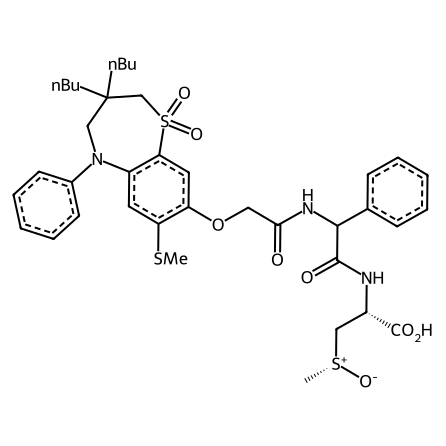 CCCCC1(CCCC)CN(c2ccccc2)c2cc(SC)c(OCC(=O)NC(C(=O)N[C@@H](C[S@@+](C)[O-])C(=O)O)c3ccccc3)cc2S(=O)(=O)C1